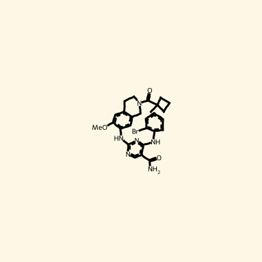 COc1cc2c(cc1Nc1ncc(C(N)=O)c(Nc3ccccc3Br)n1)CN(C(=O)C1(C)CCC1)CC2